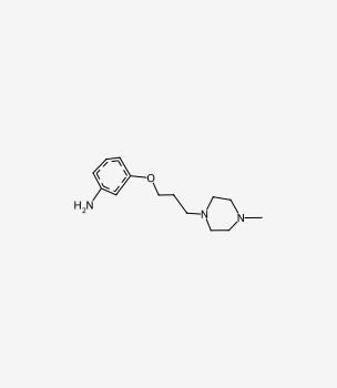 CN1CCN(CCCOc2cccc(N)c2)CC1